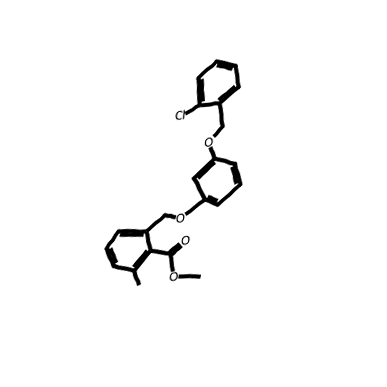 COC(=O)c1c(C)cccc1COc1cccc(OCc2ccccc2Cl)c1